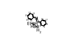 BBBCC.c1ccc(N=Nc2ccccc2)cc1